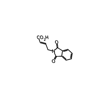 O=C(O)C=CCN1C(=O)c2ccccc2C1=O